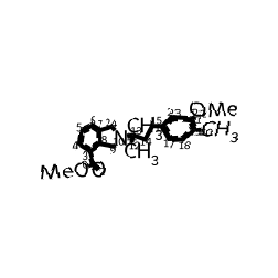 COC(=O)c1cccc2c1CN(C(C)(C)CCc1ccc(C)c(OC)c1)C2